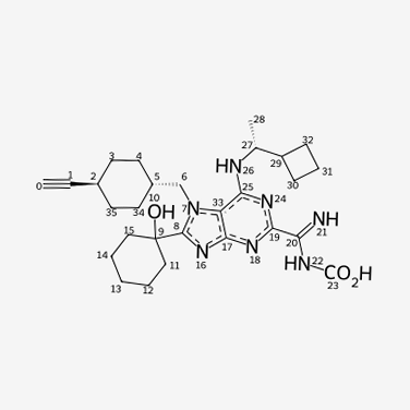 C#C[C@H]1CC[C@H](Cn2c(C3(O)CCCCC3)nc3nc(C(=N)NC(=O)O)nc(N[C@H](C)C4CCC4)c32)CC1